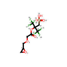 O=C(COCC1CO1)OC(CS(=O)(=O)O)(C(F)(F)F)C(F)(F)F